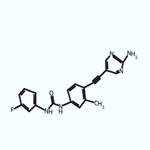 Cc1cc(NC(=O)Nc2cccc(F)c2)ccc1C#Cc1cnc(N)nc1